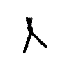 CCCCCCCCCCCCCCN(CCCCCCCCCCCCCC)c1ccc(/C=C/c2cc[n+](C)cc2)cc1